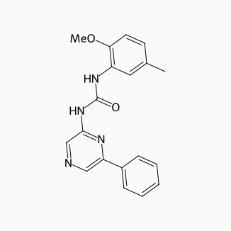 COc1ccc(C)cc1NC(=O)Nc1cncc(-c2ccccc2)n1